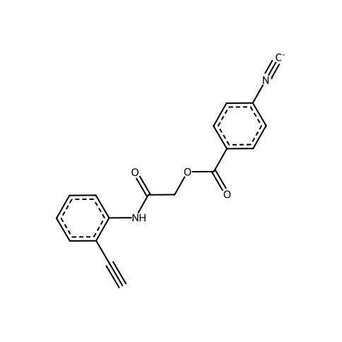 [C-]#[N+]c1ccc(C(=O)OCC(=O)Nc2ccccc2C#C)cc1